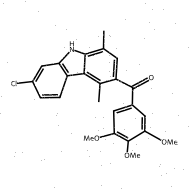 COc1cc(C(=O)c2cc(C)c3[nH]c4cc(Cl)ccc4c3c2C)cc(OC)c1OC